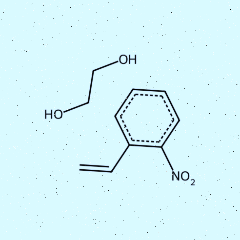 C=Cc1ccccc1[N+](=O)[O-].OCCO